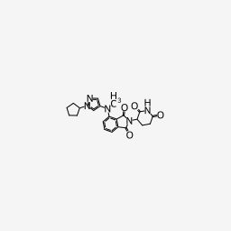 CN(c1cnn(C2CCCC2)c1)c1cccc2c1C(=O)N(C1CCC(=O)NC1=O)C2=O